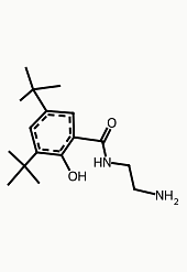 CC(C)(C)c1cc(C(=O)NCCN)c(O)c(C(C)(C)C)c1